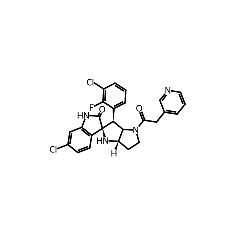 O=C(Cc1cccnc1)N1CC[C@@H]2N[C@@]3(C(=O)Nc4cc(Cl)ccc43)[C@@H](c3cccc(Cl)c3F)C21